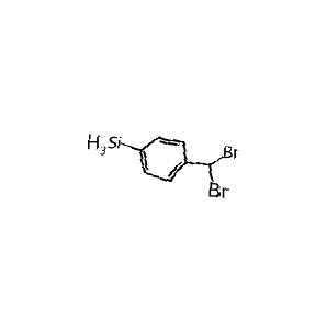 [SiH3]c1ccc(C(Br)Br)cc1